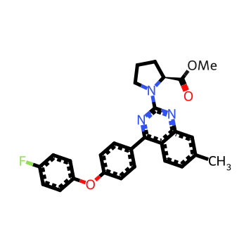 COC(=O)[C@@H]1CCCN1c1nc(-c2ccc(Oc3ccc(F)cc3)cc2)c2ccc(C)cc2n1